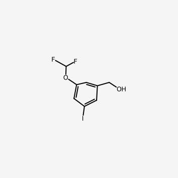 OCc1cc(I)cc(OC(F)F)c1